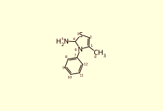 CC1=CSC(N)N1c1ccccc1